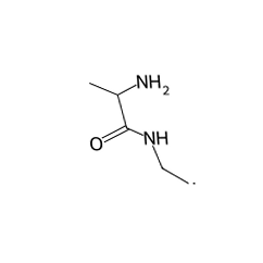 [CH2]CNC(=O)C(C)N